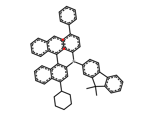 CC1(C)c2ccccc2-c2ccc(N(c3ccc(-c4ccccc4)cc3)c3cc(C4CCCCC4)c4ccccc4c3-c3cccc4ccccc34)cc21